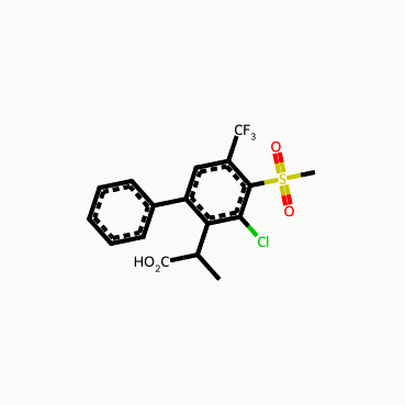 CC(C(=O)O)c1c(-c2ccccc2)cc(C(F)(F)F)c(S(C)(=O)=O)c1Cl